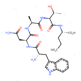 C[C@H](NC(=O)[C@H](CC(N)=O)NC(=O)[C@@H](N)Cc1c[nH]c2ccccc12)C(=O)N[C@H](C(=O)N[C@@H](CCC(=O)O)C(=O)O)[C@@H](C)O